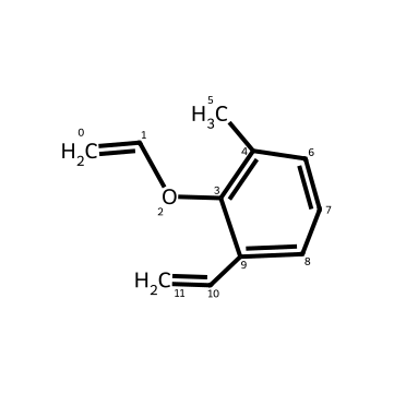 C=COc1c(C)cccc1C=C